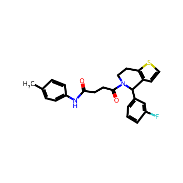 Cc1ccc(NC(=O)CCC(=O)N2CCc3sccc3C2c2cccc(F)c2)cc1